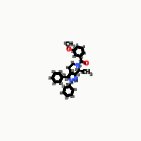 COc1cccc(C(=O)N2CCc3c(nn(-c4ccccc4)c3-c3ccccc3)[C@@H]2C)c1